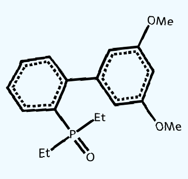 CCP(=O)(CC)c1ccccc1-c1cc(OC)cc(OC)c1